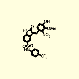 COc1c(O)ccc(C=C2C(=O)Nc3ccc(S(=O)(=O)Nc4ccc(C(F)(F)F)cc4)cc32)c1[N+](=O)[O-]